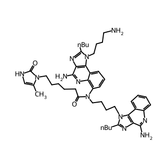 CCCCc1nc2c(N)nc3ccccc3c2n1CCCCN(C(=O)CCCCCn1c(C)c[nH]c1=O)c1cccc2c1nc(N)c1nc(CCCC)n(CCCCN)c12